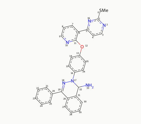 CSc1nccc(-c2cccnc2Oc2ccc(N3N=C(c4ccccc4)c4ccccc4C3N)cc2)n1